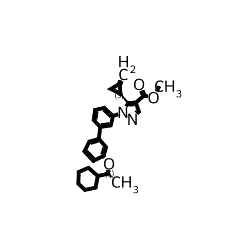 C=C1C[C@@H]1c1c(C(=O)OC)cnn1-c1cccc(-c2cccc(O[C@@H](C)C3CCCCC3)c2)c1